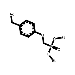 CCOP(=O)(COc1ccc(CC(C)=O)cc1)OCC